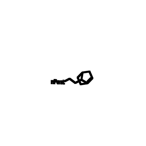 CCCCCCCC1C2=CCC1CC2